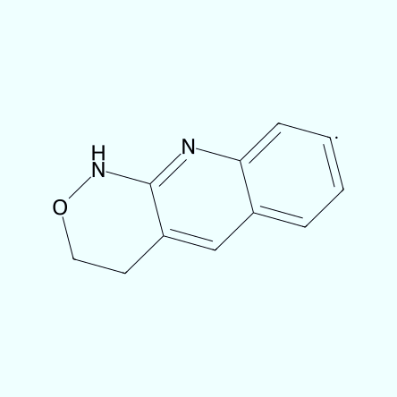 [c]1ccc2cc3c(nc2c1)NOCC3